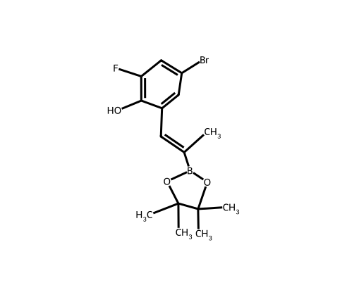 C/C(=C\c1cc(Br)cc(F)c1O)B1OC(C)(C)C(C)(C)O1